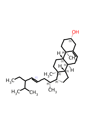 CCC(/C=C/C[C@@H](C)[C@H]1CC[C@H]2[C@@H]3CC=C4C[C@@H](O)CC[C@]4(C)[C@H]3CC[C@]12C)C(C)C